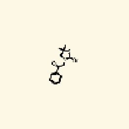 CC1(C)CN(CC(=O)c2ccccc2)C(Br)S1